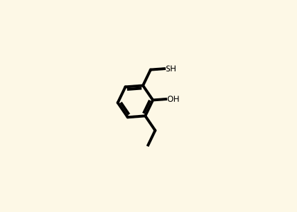 CCc1cccc(CS)c1O